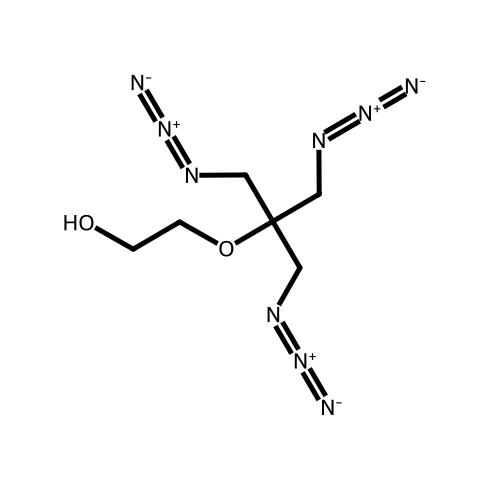 [N-]=[N+]=NCC(CN=[N+]=[N-])(CN=[N+]=[N-])OCCO